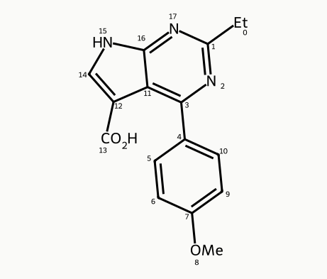 CCc1nc(-c2ccc(OC)cc2)c2c(C(=O)O)c[nH]c2n1